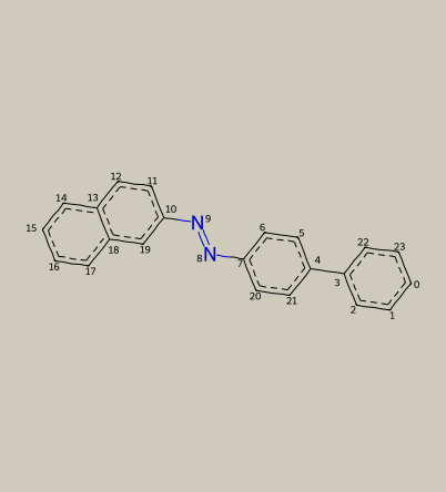 c1ccc(-c2ccc(N=Nc3ccc4ccccc4c3)cc2)cc1